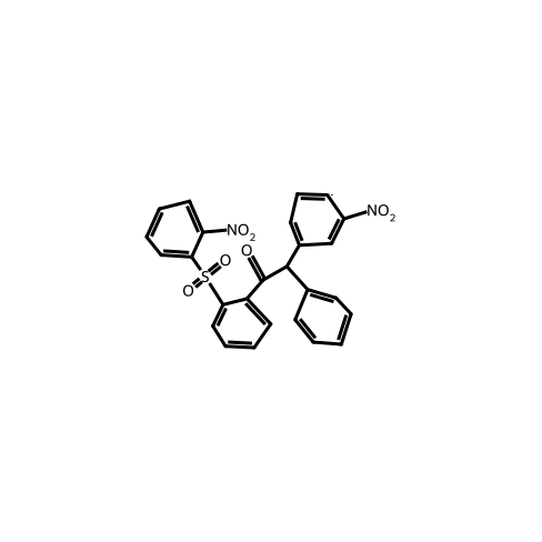 O=C(c1ccccc1S(=O)(=O)c1ccccc1[N+](=O)[O-])C(c1ccccc1)c1cc[c]c([N+](=O)[O-])c1